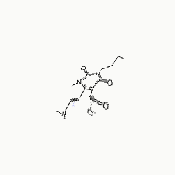 CCCCn1c(=O)c([N+](=O)[O-])c(/C=C/N(C)C)n(C)c1=O